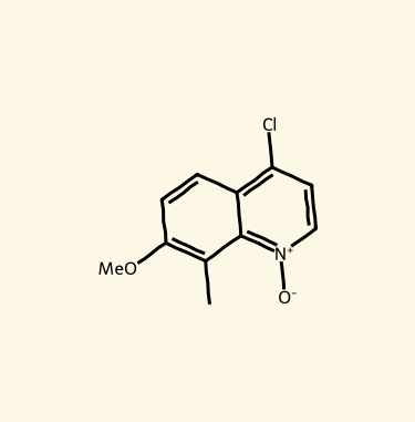 COc1ccc2c(Cl)cc[n+]([O-])c2c1C